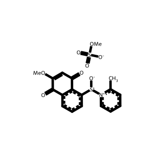 COC1=CC(=O)c2c(cccc2[S+]([O-])[n+]2ccccc2C)C1=O.COS(=O)(=O)[O-]